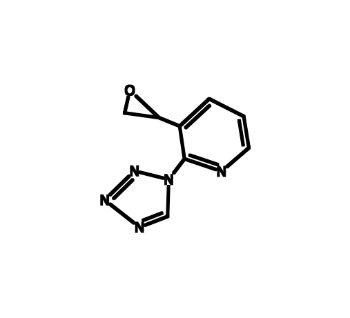 c1cnc(-n2cnnn2)c(C2CO2)c1